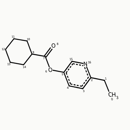 CCc1ccc(OC(=O)C2CCCCC2)cn1